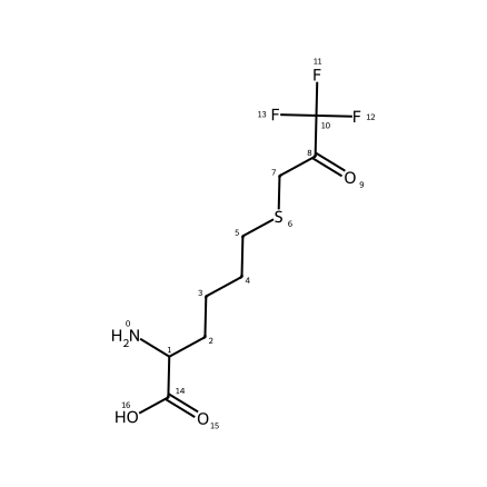 NC(CCCCSCC(=O)C(F)(F)F)C(=O)O